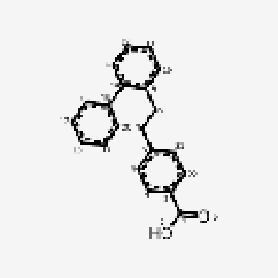 O=C(O)c1ccc(CCc2ccccc2-c2ccccc2)cc1